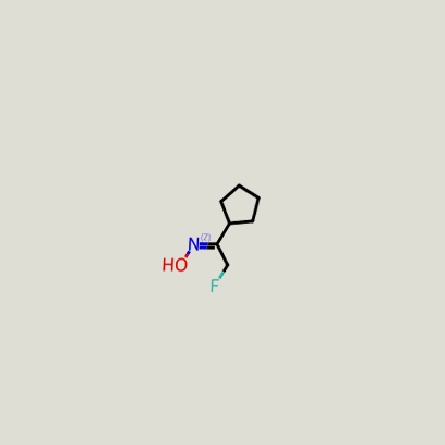 O/N=C(\CF)C1CCCC1